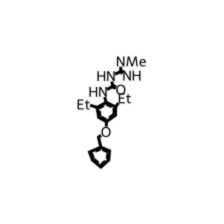 CCc1cc(OCc2ccccc2)cc(CC)c1NC(=O)NC(=N)NC